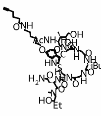 C#CCCCC(=O)NCCCCCCOc1ccc2c3c([nH]c2c1)SC[C@@H](C(=O)N[C@@H](CC(N)=O)C(=O)N(C)C[C@H](O)CC)NC(=O)CNC(=O)[C@H]([C@@H](C)CC)NC(=O)CNC(=O)[C@H](NC(=O)[C@@H](NC(C)=O)[C@@H](C)[C@@H](O)CO)C3